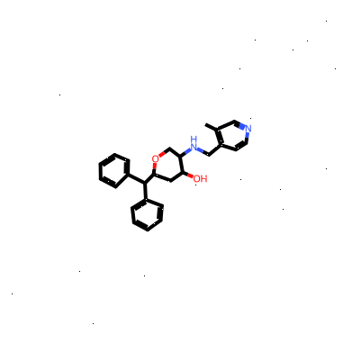 Cc1cnccc1CNC1COC(C(c2ccccc2)c2ccccc2)CC1O